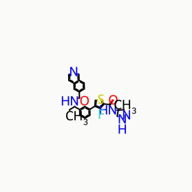 CCC(NC(=O)c1ccc2cnccc2c1)c1cccc(-c2csc(C(=O)NC3(C)C=NNC3)c2F)c1